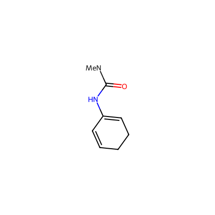 CNC(=O)NC1=CCCC=C1